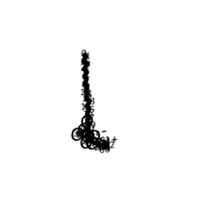 CCCCCCCCCCCCCCCCCCOC[C@H](COP(=O)([O-])OCC[N+](C)(C)C)OC=O